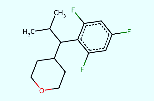 CC(C)C(c1c(F)cc(F)cc1F)C1CCOCC1